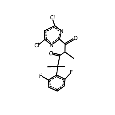 CC(C(=O)c1nc(Cl)cc(Cl)n1)C(=O)C(C)(C)c1c(F)cccc1F